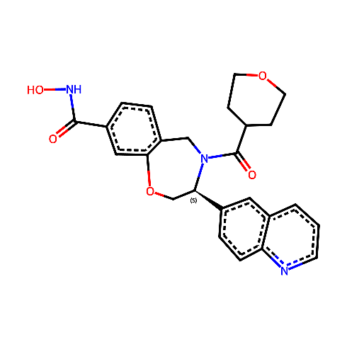 O=C(NO)c1ccc2c(c1)OC[C@H](c1ccc3ncccc3c1)N(C(=O)C1CCOCC1)C2